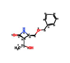 C[C@@H](O)[C@H]1C(=O)N[C@H]1COCc1ccccc1